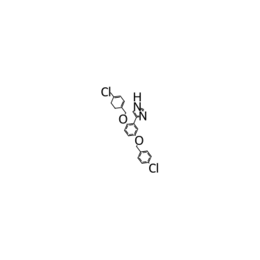 ClC1=CC=C(COc2ccc(OCc3ccc(Cl)cc3)cc2-c2c[nH]cn2)CC1